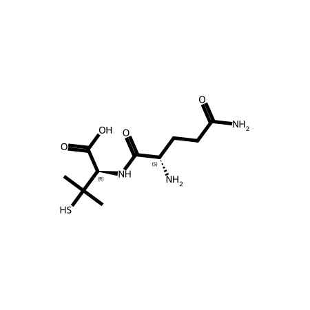 CC(C)(S)[C@H](NC(=O)[C@@H](N)CCC(N)=O)C(=O)O